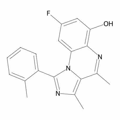 Cc1ccccc1-c1nc(C)c2c(C)nc3c(O)cc(F)cc3n12